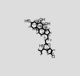 CC(C)C(NC(=O)C[C@@H](C)C1CC[C@H]2[C@@H]3[C@H](O)[C@H](O)[C@@H]4C[C@H](O)CC[C@]4(C)[C@H]3CC[C@]12C)c1ccc(Cl)s1